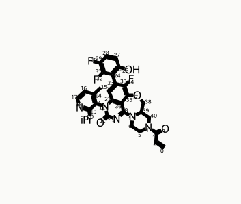 C=CC(=O)N1CCN2c3nc(=O)n(-c4c(C)ccnc4C(C)C)c4cc(-c5c(O)ccc(F)c5F)c(F)c(c34)OCC2C1